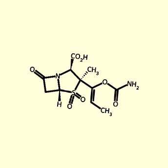 CC=C(OC(N)=O)[C@]1(C)[C@H](C(=O)O)N2C(=O)C[C@H]2S1(=O)=O